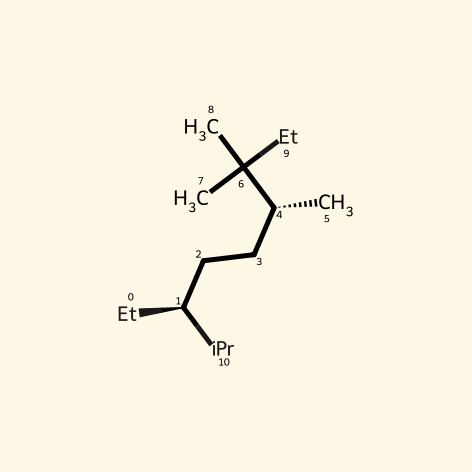 CC[C@@H](CC[C@@H](C)C(C)(C)CC)C(C)C